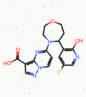 O=C(O)c1cnn2ccc(N3CCOCCC3c3cc(F)cnc3O)nc12